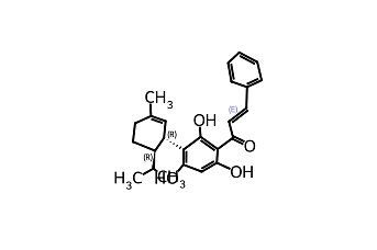 CC1=C[C@H](c2c(O)cc(O)c(C(=O)/C=C/c3ccccc3)c2O)[C@@H](C(C)C)CC1